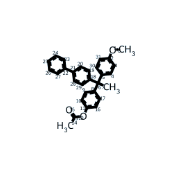 COc1ccc(C(C)(c2ccc(OC(C)=O)cc2)c2ccc(-c3ccccc3)cc2)cc1